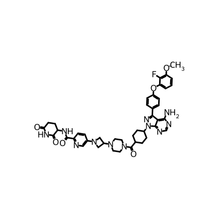 COc1cccc(Oc2ccc(-c3nn(C4CCC(C(=O)N5CCN(C6CN(c7ccc(C(=O)NC8CCC(=O)NC8=O)nc7)C6)CC5)CC4)c4ncnc(N)c34)cc2)c1F